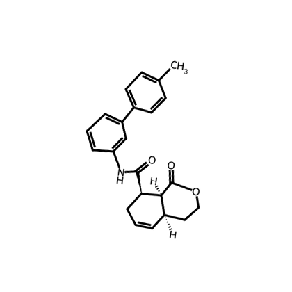 Cc1ccc(-c2cccc(NC(=O)[C@@H]3CC=C[C@@H]4CCOC(=O)[C@@H]43)c2)cc1